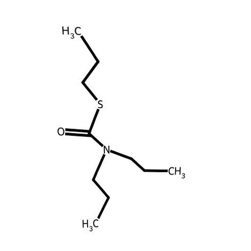 CCCSC(=O)N(CCC)CCC